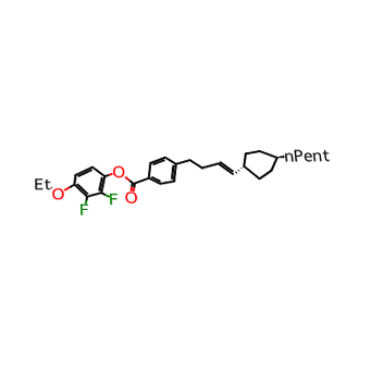 CCCCC[C@H]1CC[C@H](C=CCCc2ccc(C(=O)Oc3ccc(OCC)c(F)c3F)cc2)CC1